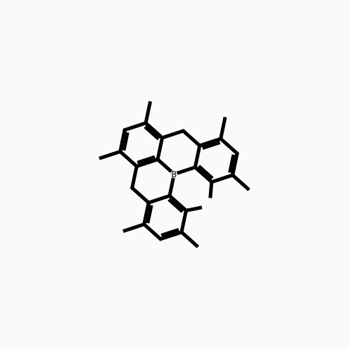 Cc1cc(C)c2c(c1C)B1c3c(C)c(C)cc(C)c3Cc3c(C)cc(C)c(c31)C2